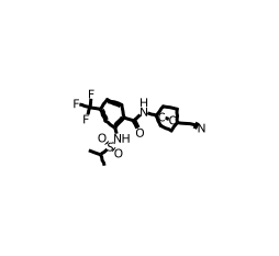 CC(C)S(=O)(=O)Nc1cc(C(F)(F)F)ccc1C(=O)NC12CCC(C#N)(CC1)CC2